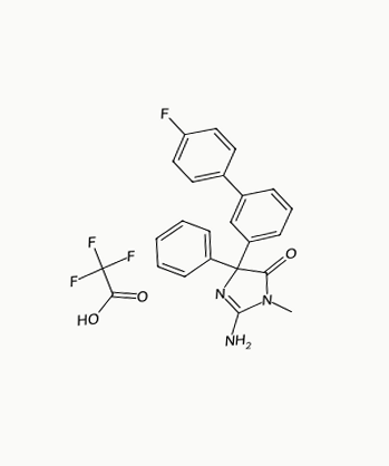 CN1C(=O)C(c2ccccc2)(c2cccc(-c3ccc(F)cc3)c2)N=C1N.O=C(O)C(F)(F)F